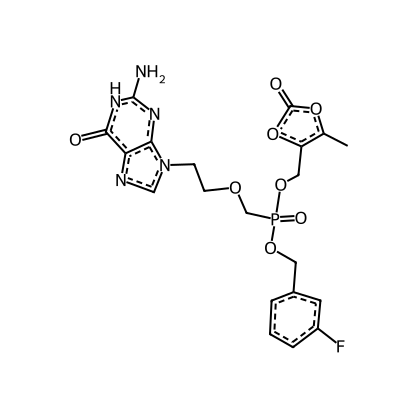 Cc1oc(=O)oc1COP(=O)(COCCn1cnc2c(=O)[nH]c(N)nc21)OCc1cccc(F)c1